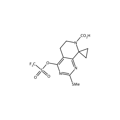 CSc1nc(OS(=O)(=O)C(F)(F)F)c2c(n1)C1(CC1)N(C(=O)O)CC2